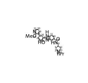 CCCN1CCC(CNC(=O)c2ccc3[nH]c(-c4cc(-c5cccnc5OC)ccc4O)nc3c2)CC1